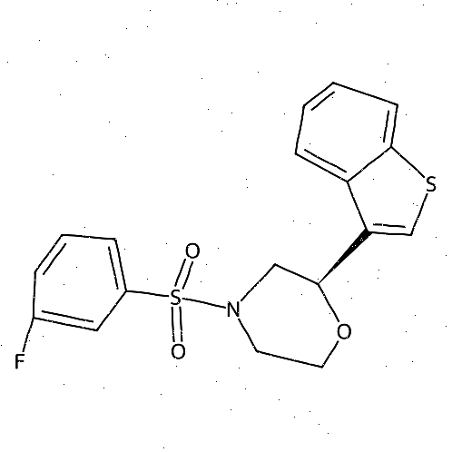 O=S(=O)(c1cccc(F)c1)N1CCO[C@H](c2csc3ccccc23)C1